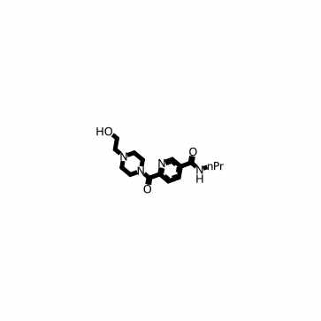 CCCNC(=O)c1ccc(C(=O)N2CCN(CCO)CC2)nc1